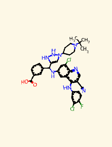 CC(C)(C)N1CCC(N2C=C([C@@H](Nc3cc(Cl)c4ncc(C#N)c(Nc5ccc(F)c(Cl)c5)c4c3)c3cccc(C(=O)O)c3)NN2)CC1